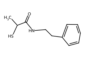 CC(S)C(=O)NCCc1ccccc1